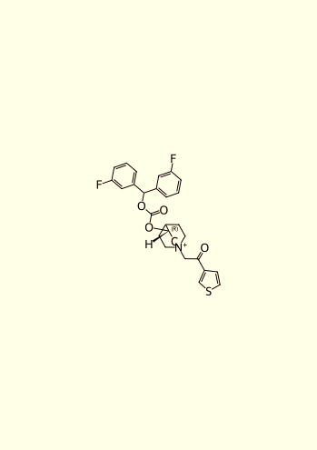 O=C(OC(c1cccc(F)c1)c1cccc(F)c1)O[C@H]1C[N+]2(CC(=O)c3ccsc3)CCC1CC2